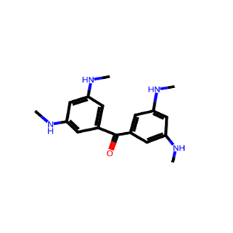 CNc1cc(NC)cc(C(=O)c2cc(NC)cc(NC)c2)c1